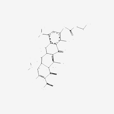 CN(C)c1cc(NC(=O)OCC(C)(C)C)c(O)c2c1C[C@@H]1C[C@@H]3[C@@H](N(C)C)C(O)=C(C(N)=O)C(=O)[C@]3(O)C(O)=C1C2=O